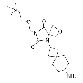 C[Si](C)(C)CCOCN1C(=O)N(C2CC3(CCC(N)CC3)C2)C2(COC2)C1=O